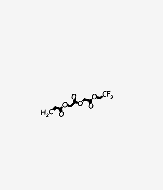 C=CC(=O)OCC(=O)OCC(=O)OCC(F)(F)F